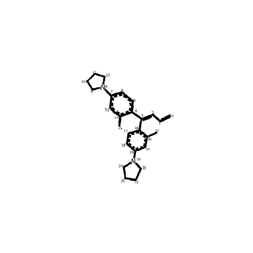 C=CC=C(c1ccc(N2CCCC2)cc1C)c1ccc(N2CCCC2)cc1C